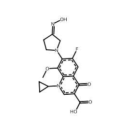 COc1c(N2CCC(=NO)C2)c(F)cc2c(=O)c(C(=O)O)cn(C3CC3)c12